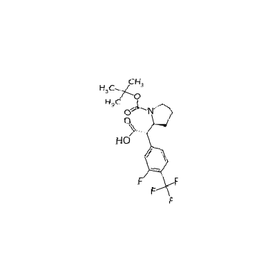 CC(C)(C)OC(=O)N1CCC[C@H]1[C@@H](C(=O)O)c1ccc(C(F)(F)F)c(F)c1